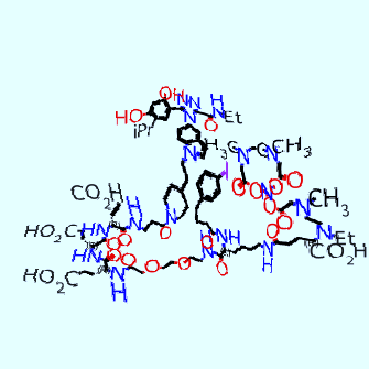 CCNC(=O)c1nnc(-c2cc(C(C)C)c(O)cc2O)n1-c1ccc2c(ccn2CCC2CCN(C(=O)CCNC(=O)[C@@H](CCC(=O)O)NC(=O)[C@@H](CCC(=O)O)NC(=O)[C@@H](CCC(=O)O)NC(=O)COCCOCCNC(=O)[C@H](CCCCNC(=O)CC[C@H](C(=O)O)N(CC)CCN(C)CC(=O)ON3OC(=O)CN(C)CCN(C)CC(=O)O3)NC(=O)CCCc3ccc(I)cc3)CC2)c1